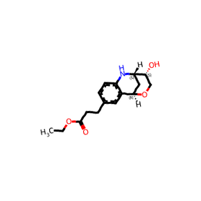 CCOC(=O)CCc1ccc2c(c1)[C@H]1C[C@H](N2)[C@H](O)CO1